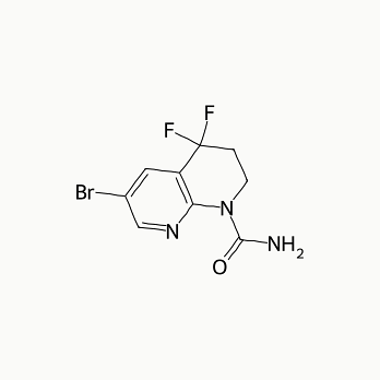 NC(=O)N1CCC(F)(F)c2cc(Br)cnc21